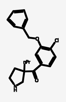 CCCC1(C(=O)c2ccc(Cl)c(OCc3ccccc3)c2)CCNC1